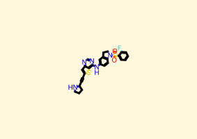 O=S(=O)(c1ccccc1F)N1CCc2cc(Nc3ncnc4cc(C#CC5CCCN5)sc34)ccc21